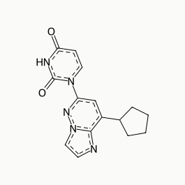 O=c1ccn(-c2cc(C3CCCC3)c3nccn3n2)c(=O)[nH]1